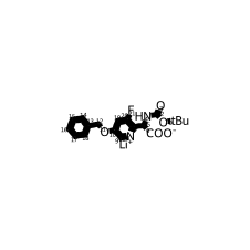 CC(C)(C)OC(=O)NC(C(=O)[O-])c1ncc(OCc2ccccc2)cc1F.[Li+]